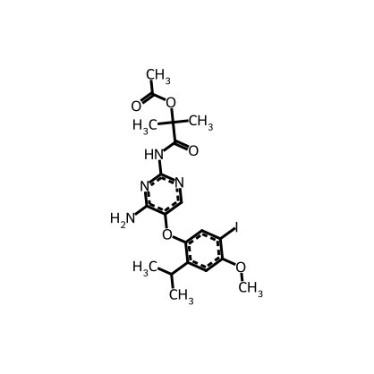 COc1cc(C(C)C)c(Oc2cnc(NC(=O)C(C)(C)OC(C)=O)nc2N)cc1I